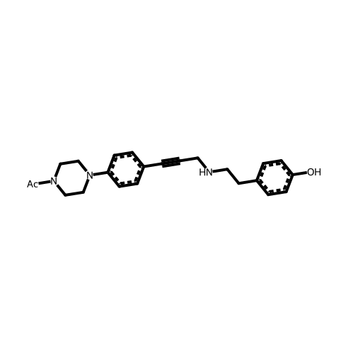 CC(=O)N1CCN(c2ccc(C#CCNCCc3ccc(O)cc3)cc2)CC1